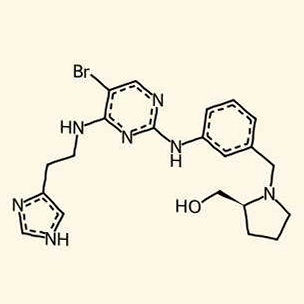 OC[C@@H]1CCCN1Cc1cccc(Nc2ncc(Br)c(NCCc3c[nH]cn3)n2)c1